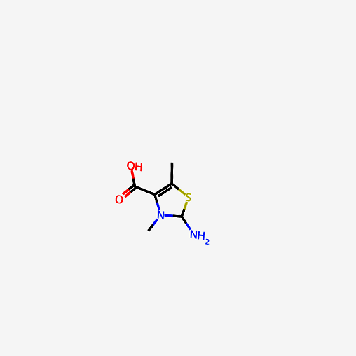 CC1=C(C(=O)O)N(C)C(N)S1